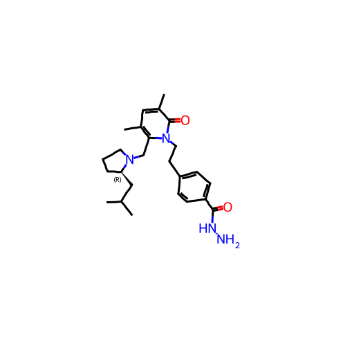 Cc1cc(C)c(=O)n(CCc2ccc(C(=O)NN)cc2)c1CN1CCC[C@@H]1CC(C)C